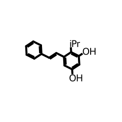 CC(C)c1c(O)cc(O)cc1C=Cc1ccccc1